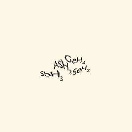 [AsH3].[GeH4].[SbH3].[SeH2]